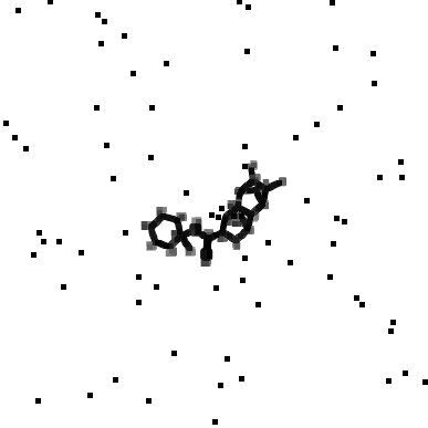 CC1C(C)C2CC1C1C3CC(C(=O)OC4(C)CCCCC4)C(C3)C21